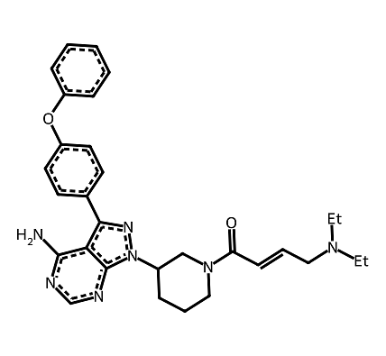 CCN(CC)CC=CC(=O)N1CCCC(n2nc(-c3ccc(Oc4ccccc4)cc3)c3c(N)ncnc32)C1